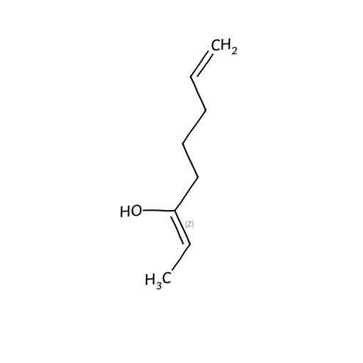 C=CCCC/C(O)=C/C